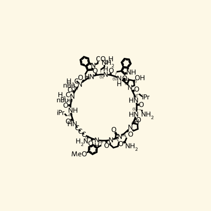 CCCC[C@H]1C(=O)N(C)[C@@H](CCCC)C(=O)N[C@@H](CC(C)C)C(=O)NCCC[C@H](N)C(=O)N[C@@H](Cc2ccc(OC)cc2)C(=O)N2CCCC[C@@]23C(=O)N3[C@@H](CC(N)=O)C(=O)N2CCC[C@H]2C(=O)N[C@@H](CN)C(=O)N[C@@H](CC(C)C)C(=O)N2C[C@H](O)C[C@H]2C(=O)N[C@@H](Cc2c[nH]c3ccccc23)C(=O)N[C@@H](CCN)C(=O)N[C@@H](Cc2cn(CC(=O)O)c3ccccc23)C(=O)N1C